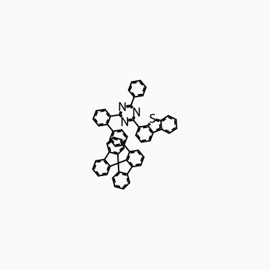 c1ccc(-c2nc(-c3ccccc3-c3ccc(-c4cccc5c4C4(c6ccccc6-c6ccccc64)c4ccccc4-5)cc3)nc(-c3cccc4c3sc3ccccc34)n2)cc1